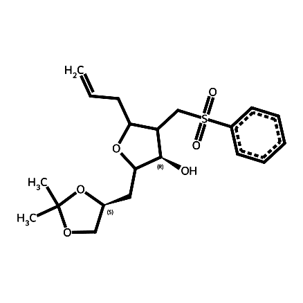 C=CCC1OC(C[C@H]2COC(C)(C)O2)[C@H](O)C1CS(=O)(=O)c1ccccc1